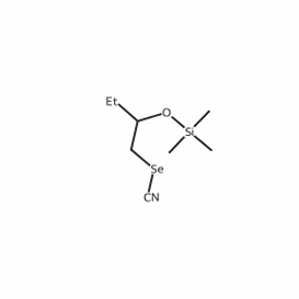 CCC(C[Se]C#N)O[Si](C)(C)C